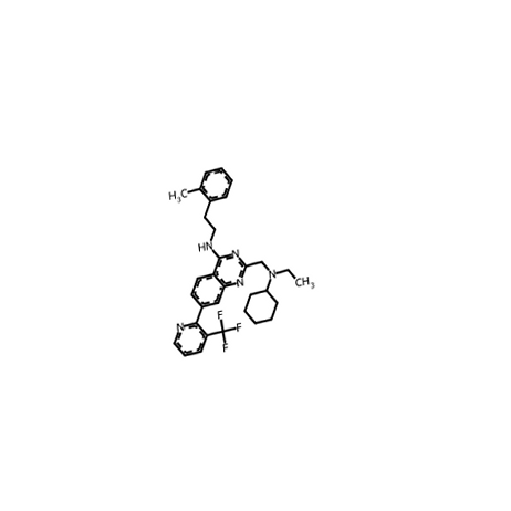 CCN(Cc1nc(NCCc2ccccc2C)c2ccc(-c3ncccc3C(F)(F)F)cc2n1)C1CCCCC1